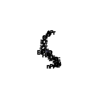 CCCOCCOc1ccc(-c2ccc(OCC)c(/C=C/C(=O)Nc3ccc([S+]([O-])Cc4c(C)ncn4CCC)cc3)c2)cc1